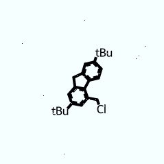 CC(C)(C)c1ccc2c(c1)Cc1cc(C(C)(C)C)cc(CCl)c1-2